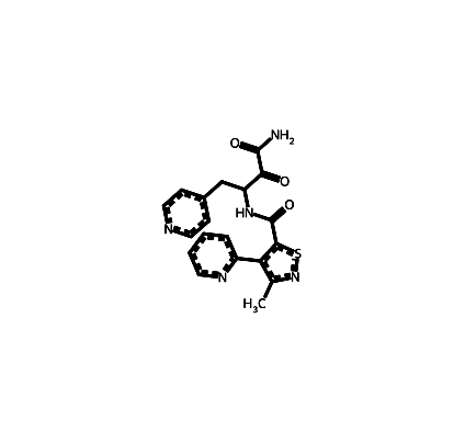 Cc1nsc(C(=O)NC(Cc2ccncc2)C(=O)C(N)=O)c1-c1ccccn1